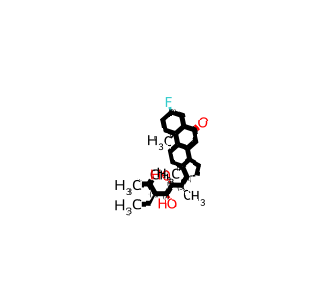 CC[C@@H](C(C)C)[C@H](O)[C@@H](O)[C@@H](C)[C@H]1CCC2C3CC(=O)C4C[C@H](F)CC[C@]4(C)C3CC[C@@]21C